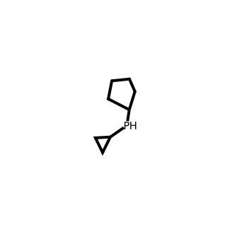 C1CCC(PC2CC2)C1